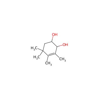 CC1=C(C)C(C)(C)CC(O)C1O